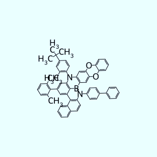 Cc1cc(C(C)(C)C)ccc1N1c2cc3c(cc2B2c4c(cc(-c5c(C)cccc5C)cc41)-c1c(ccc4ccccc14)N2c1ccc(-c2ccccc2)cc1)Oc1ccccc1O3